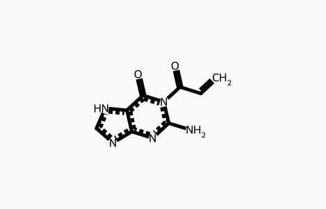 C=CC(=O)n1c(N)nc2nc[nH]c2c1=O